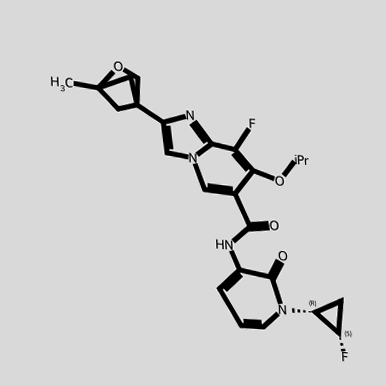 CC(C)Oc1c(C(=O)Nc2cccn([C@@H]3C[C@@H]3F)c2=O)cn2cc(C34COC(C)(C3)C4)nc2c1F